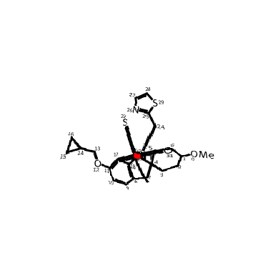 COC1CCC2(CC1)Cc1ccc(OCC3CC3)cc1C21NC(=S)N(Cc2nccs2)C1=O